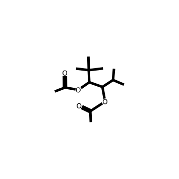 CC(=O)OC(C(C)C)C(OC(C)=O)C(C)(C)C